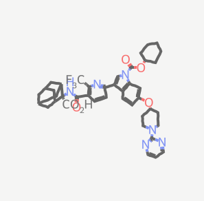 O=C(NC1(C(=O)O)C2CC3CC(C2)CC1C3)c1ccc(-c2cn(C(=O)OC3CCCCC3)c3cc(OC4CCN(c5ncccn5)CC4)ccc23)nc1C(F)(F)F